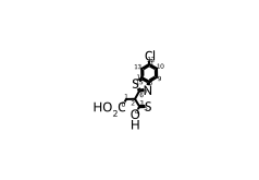 O=C(O)CC(C(O)=S)c1nc2ccc(Cl)cc2s1